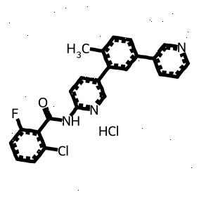 Cc1ccc(-c2cccnc2)cc1-c1ccc(NC(=O)c2c(F)cccc2Cl)nc1.Cl